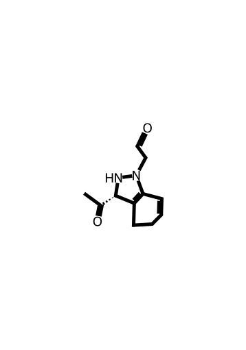 CC(=O)[C@@H]1NN(CC=O)C2=C1CCC=C2